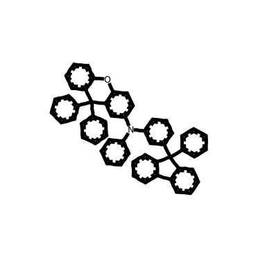 c1ccc(N(c2cccc(C3(c4ccccc4)c4ccccc4-c4ccccc43)c2)c2ccc3c(c2)C(c2ccccc2)(c2ccccc2)c2ccccc2O3)cc1